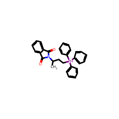 CC(CC[PH](c1ccccc1)(c1ccccc1)c1ccccc1)N1C(=O)c2ccccc2C1=O